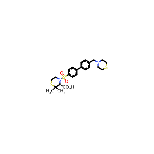 CC1(C)SCCN(S(=O)(=O)c2ccc(-c3ccc(CN4CCSCC4)cc3)cc2)[C@H]1C(=O)O